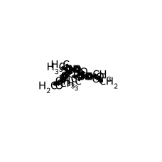 C=CC(=O)OC(C)c1ccc(N(CCC)C(=O)N(CCC)c2cccc(N(CCC)C(=O)N(CCC)c3ccc(C(C)OC(=O)C=C)cc3)c2)cc1